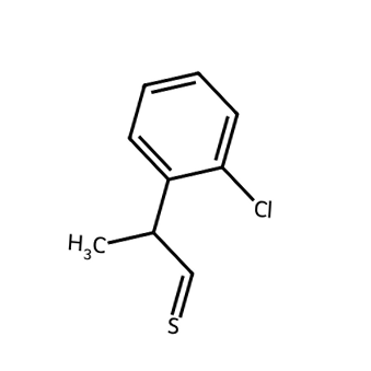 CC(C=S)c1ccccc1Cl